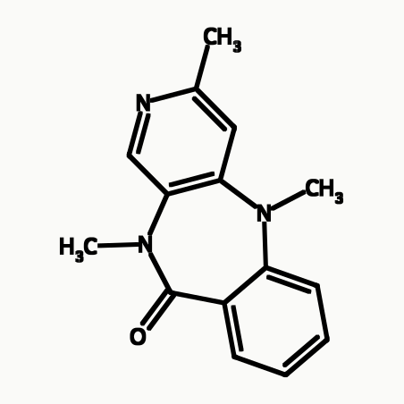 Cc1cc2c(cn1)N(C)C(=O)c1ccccc1N2C